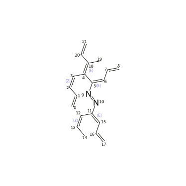 C=C\C=C/C(/C(=C\C=C)N=NC(/C=C\C)=C/C=C)=C(/C)C=C